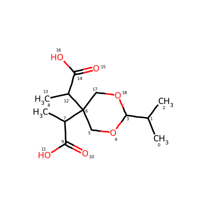 CC(C)C1OCC(C(C)C(=O)O)(C(C)C(=O)O)CO1